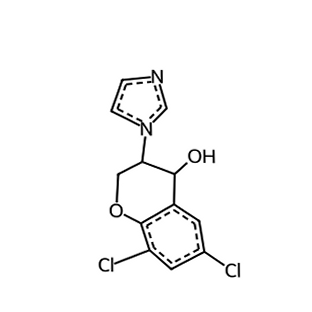 OC1c2cc(Cl)cc(Cl)c2OCC1n1ccnc1